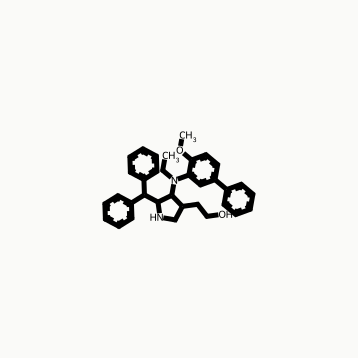 CCN(c1cc(-c2ccccc2)ccc1OC)C1C(CCO)CNC1C(c1ccccc1)c1ccccc1